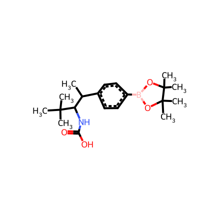 CC(c1ccc(B2OC(C)(C)C(C)(C)O2)cc1)C(NC(=O)O)C(C)(C)C